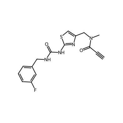 C#CC(=O)N(C)Cc1csc(NC(=O)NCc2cccc(F)c2)n1